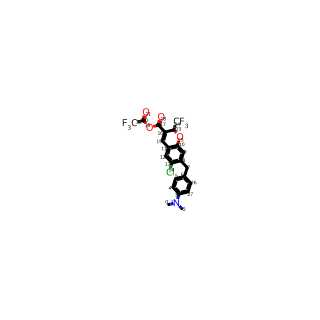 CN(C)c1ccc(Cc2cc3c(cc2Cl)C=C(C(=O)OC(=O)C(F)(F)F)C(C(F)(F)F)O3)cc1